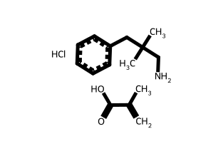 C=C(C)C(=O)O.CC(C)(CN)Cc1ccccc1.Cl